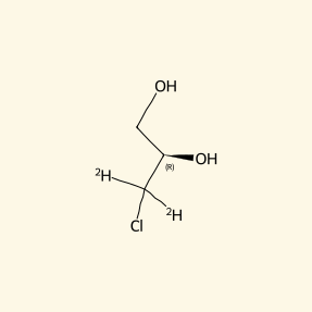 [2H]C([2H])(Cl)[C@H](O)CO